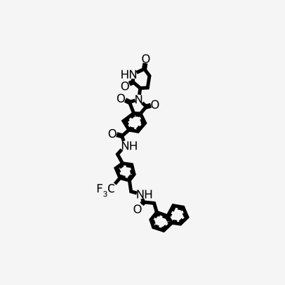 O=C(Cc1cccc2ccccc12)NCc1ccc(CNC(=O)c2ccc3c(c2)C(=O)N(C2CCC(=O)NC2=O)C3=O)cc1C(F)(F)F